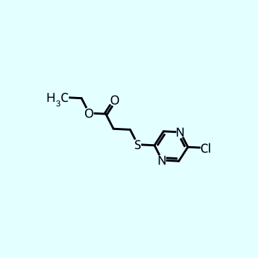 CCOC(=O)CCSc1cnc(Cl)cn1